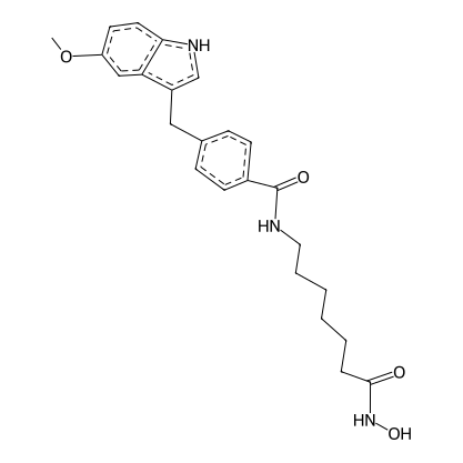 COc1ccc2[nH]cc(Cc3ccc(C(=O)NCCCCCCC(=O)NO)cc3)c2c1